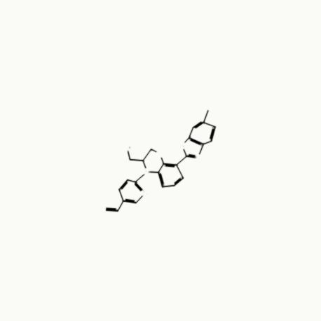 C=Cc1ccc(N2c3cccc(-c4nc5ccc(C)cc5[nH]4)c3OCC2CO)nc1